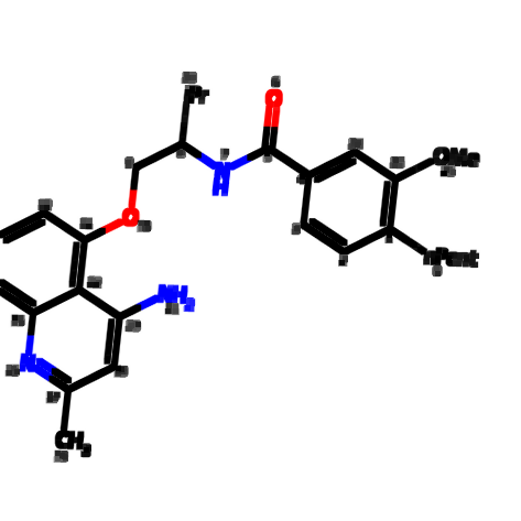 CCCCCc1ccc(C(=O)NC(COc2cccc3nc(C)cc(N)c23)C(C)C)cc1OC